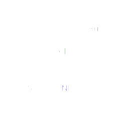 C1CSCN1.CCCCCCl